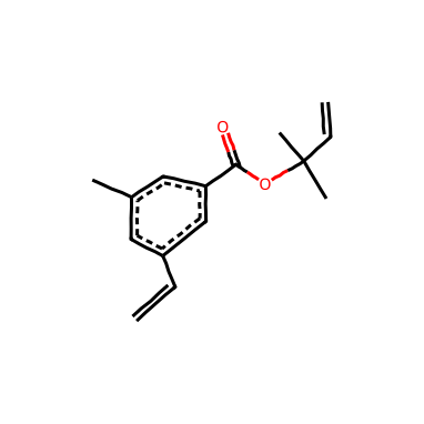 C=Cc1cc(C)cc(C(=O)OC(C)(C)C=C)c1